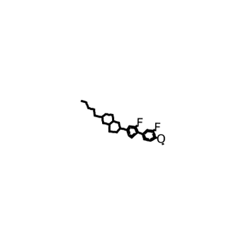 CCCCCC1CCC2CC(c3ccc(-c4ccc(OC)c(F)c4)c(F)c3)CCC2C1